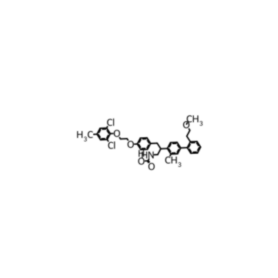 COCCc1ccccc1-c1ccc(C(CNC(=O)O)Cc2ccc(OCCOc3c(Cl)cc(C)cc3Cl)cc2)c(C)c1